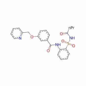 CCCC(=O)NS(=O)(=O)c1ccccc1NC(=O)c1cccc(OCc2ccccn2)c1